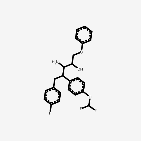 NC(C(O)COc1ccccc1)C(Cc1ccc(F)cc1)c1ccc(OC(F)F)cc1